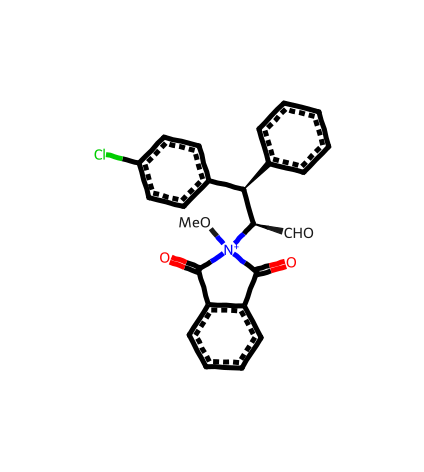 CO[N+]1([C@H](C=O)[C@H](c2ccccc2)c2ccc(Cl)cc2)C(=O)c2ccccc2C1=O